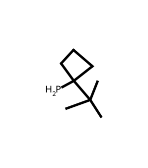 CC(C)(C)C1(P)CCC1